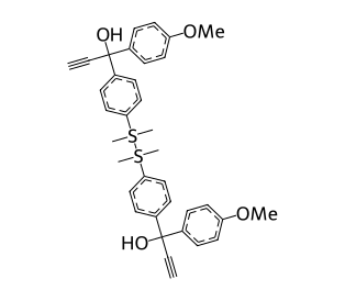 C#CC(O)(c1ccc(OC)cc1)c1ccc(S(C)(C)S(C)(C)c2ccc(C(O)(C#C)c3ccc(OC)cc3)cc2)cc1